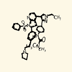 CCn1cc(-c2ccnc3c2cc(-c2ccc(CCN4CCCC4)cc2)n3S(=O)(=O)c2ccccc2)c(-c2ccc(NC(=O)N(C)C)cc2)n1